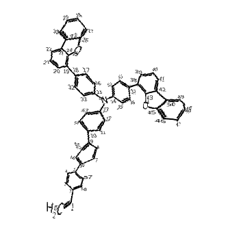 C=Cc1ccc(-c2ccc(-c3ccc(N(c4ccc(-c5cccc6c5oc5ccccc56)cc4)c4ccc(-c5cccc6c5oc5ccccc56)cc4)cc3)cc2)cc1